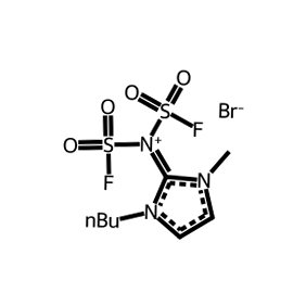 CCCCn1ccn(C)c1=[N+](S(=O)(=O)F)S(=O)(=O)F.[Br-]